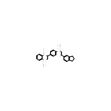 c1ccc2c(c1)NCC(c1ccc3c(c1)OC(c1ccc4c(c1)CCC4)CN3)N2